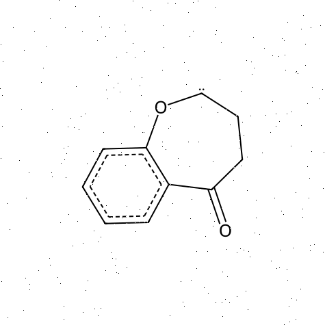 O=C1CC[C]Oc2ccccc21